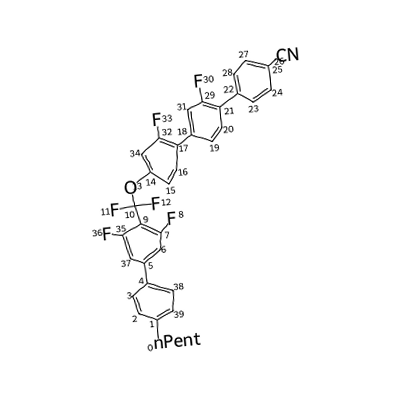 CCCCCc1ccc(-c2cc(F)c(C(F)(F)Oc3ccc(-c4ccc(-c5ccc(C#N)cc5)c(F)c4)c(F)c3)c(F)c2)cc1